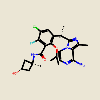 Cc1nc([C@@H](C)c2cc(Cl)c(F)c(C(=O)N[C@]3(C)C[C@@H](O)C3)c2OC(C)C)n2ccnc(N)c12